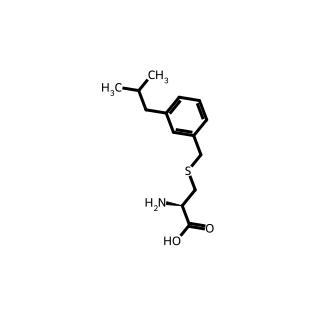 CC(C)Cc1cccc(CSC[C@H](N)C(=O)O)c1